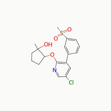 CC1(O)CCCC1Oc1ncc(Cl)cc1-c1cccc(S(C)(=O)=O)c1